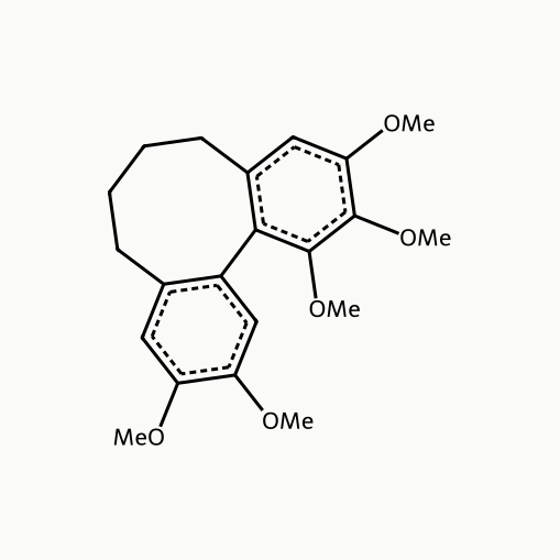 COc1cc2c(cc1OC)-c1c(cc(OC)c(OC)c1OC)CCCC2